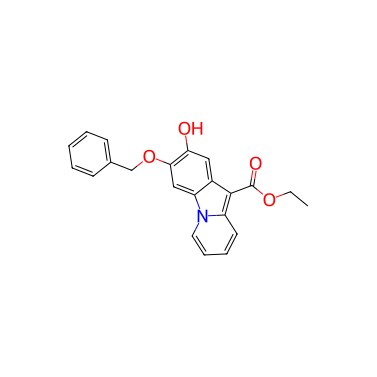 CCOC(=O)c1c2cc(O)c(OCc3ccccc3)cc2n2ccccc12